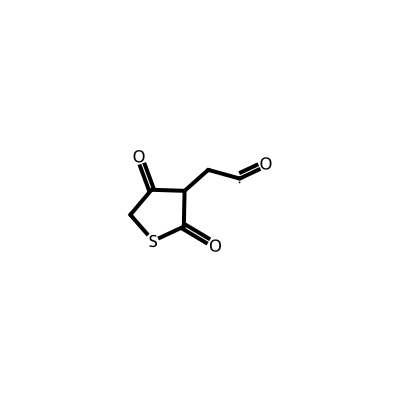 O=[C]CC1C(=O)CSC1=O